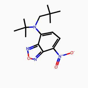 CC(C)(C)CN(c1ccc([N+](=O)[O-])c2nonc12)C(C)(C)C